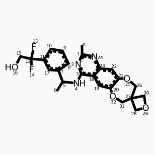 Cc1nc(NC(C)c2cccc(C(F)(F)CO)c2)c2cc3c(cc2n1)OCC1(COC1)CO3